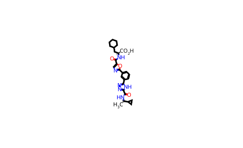 C[C@H](NC(=O)c1nnc(-c2cccc(-c3ncc(C(=O)N[C@@H](CC4CCCCC4)C(=O)O)o3)c2)[nH]1)C1CC1